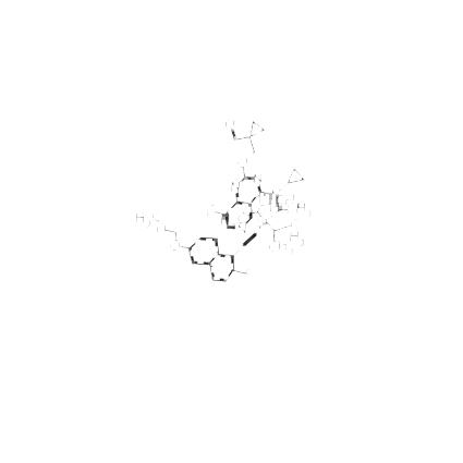 COCOc1cc(-c2ncc3c(NC4CC4)nc(OCC4(C=O)CC4)nc3c2F)c2c(C#C[Si](C(C)C)(C(C)C)C(C)C)c(F)ccc2c1